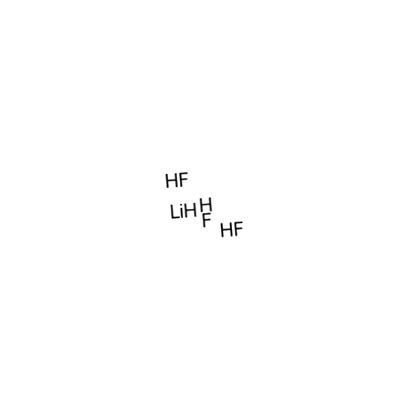 F.F.F.[LiH]